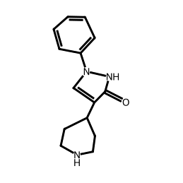 O=c1[nH]n(-c2ccccc2)cc1C1CCNCC1